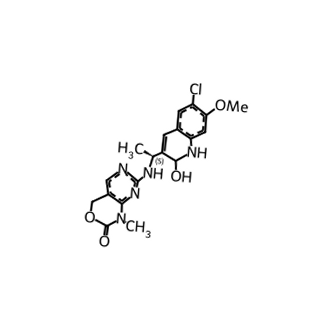 COc1cc2c(cc1Cl)C=C([C@H](C)Nc1ncc3c(n1)N(C)C(=O)OC3)C(O)N2